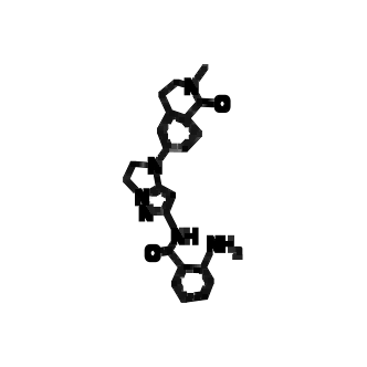 CN1CCc2cc(N3CCn4nc(NC(=O)c5ccccc5N)cc43)ccc2C1=O